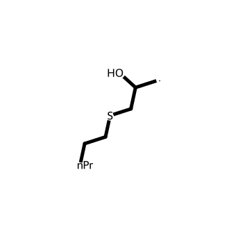 [CH2]C(O)CSCCCCC